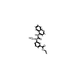 CCOC(=O)c1cccc(NC(=O)Nc2ccnc3ccccc23)c1.Cl